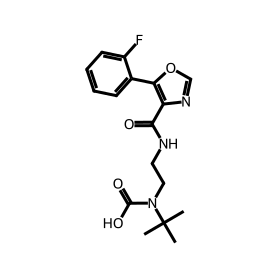 CC(C)(C)N(CCNC(=O)c1ncoc1-c1ccccc1F)C(=O)O